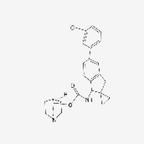 O=C(NC1c2ccc(-c3cccc(Cl)c3)cc2CC12CC2)O[C@H]1CN2CCC1CC2